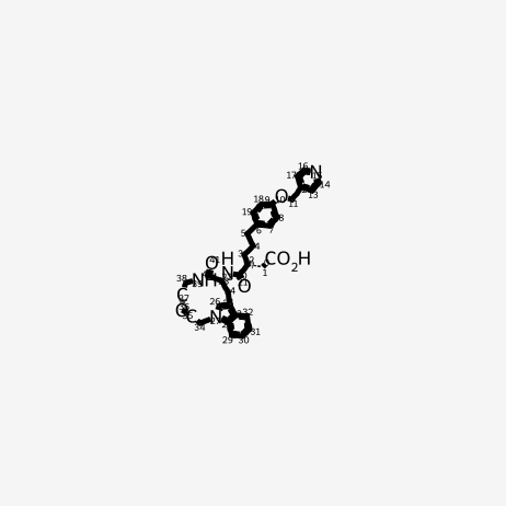 O=C(O)C[C@@H](CCCc1ccc(OCc2ccncc2)cc1)C(=O)NC1Cc2cn(c3ccccc23)CCOCCNC1=O